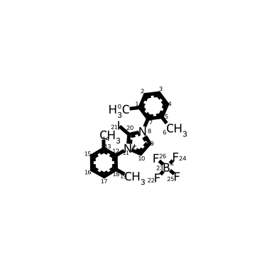 Cc1cccc(C)c1-n1cc[n+](-c2c(C)cccc2C)c1I.F[B-](F)(F)F